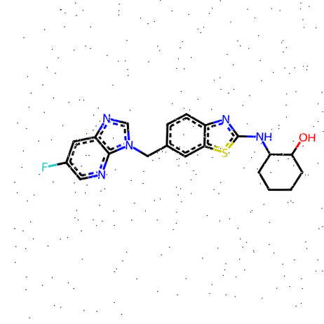 OC1CCCCC1Nc1nc2ccc(Cn3cnc4cc(F)cnc43)cc2s1